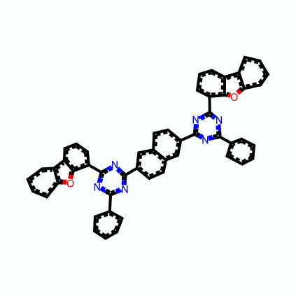 c1ccc(-c2nc(-c3ccc4cc(-c5nc(-c6ccccc6)nc(-c6cccc7c6oc6ccccc67)n5)ccc4c3)nc(-c3cccc4c3oc3ccccc34)n2)cc1